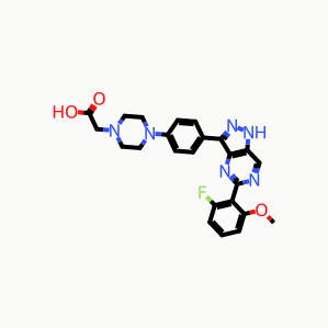 COc1cccc(F)c1-c1ncc2[nH]nc(-c3ccc(N4CCN(CC(=O)O)CC4)cc3)c2n1